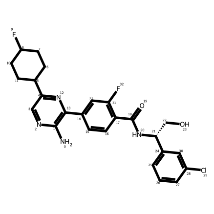 Nc1ncc(C2CCC(F)CC2)nc1-c1ccc(C(=O)N[C@H](CO)c2cccc(Cl)c2)c(F)c1